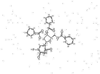 O=C(OC[C@H]1O[C@@H](n2cc(F)c(=O)[nH]c2=O)[C@H](OC(=O)c2ccccc2)[C@H]1OC(=O)c1ccccc1)c1ccccc1